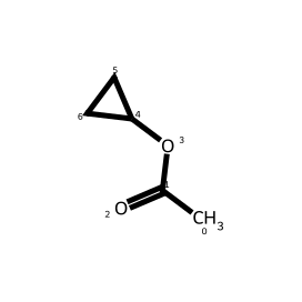 CC(=O)OC1[CH]C1